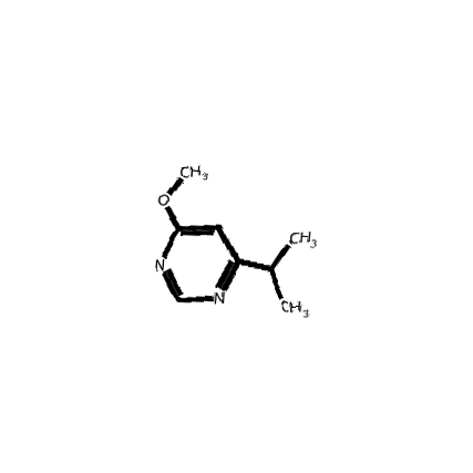 COc1cc(C(C)C)ncn1